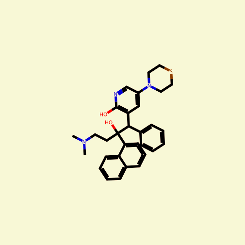 CN(C)CCC(O)(C1=C=C=Cc2ccccc21)C(c1ccccc1)c1cc(N2CCSCC2)cnc1O